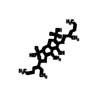 C=CC(=C\C=C/C)/N=N/c1c(S(=O)(=O)O)cc2cc(S(=O)(=O)O)c(/N=N/C(C)=C/C=C\C)c(O)c2c1N